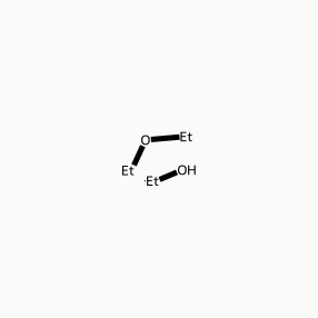 CCOCC.C[CH]O